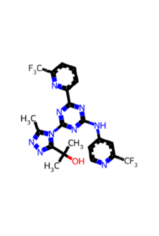 Cc1nnc(C(C)(C)O)n1-c1nc(Nc2ccnc(C(F)(F)F)c2)nc(-c2cccc(C(F)(F)F)n2)n1